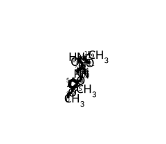 CCOc1cccc(Oc2ncc(N3C(=O)N[C@H](CC)C3=O)cn2)c1C